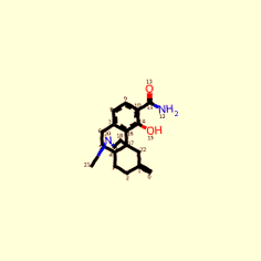 C=C1CCC2C3Cc4ccc(C(N)=O)c(O)c4C2(CCN3C)C1